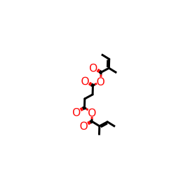 CC=C(C)C(=O)OC(=O)CCC(=O)OC(=O)C(C)=CC